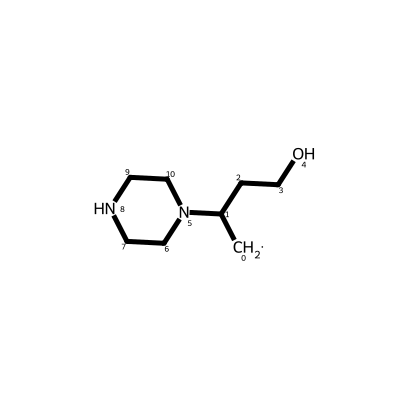 [CH2]C(CCO)N1CCNCC1